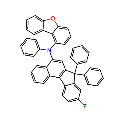 Fc1ccc2c(c1)C(c1ccccc1)(c1ccccc1)c1cc(N(c3ccccc3)c3cccc4oc5ccccc5c34)c3ccccc3c1-2